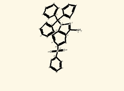 Nc1nn(C(c2ccccc2)(c2ccccc2)c2ccccc2)c2ccc(S(=O)(=O)c3ccccc3)cc12